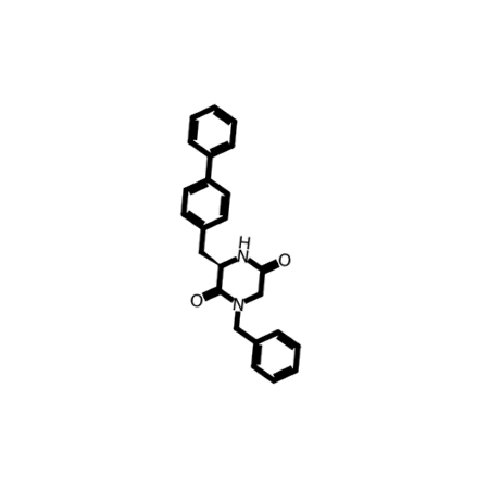 O=C1CN(Cc2ccccc2)C(=O)[C@@H](Cc2ccc(-c3ccccc3)cc2)N1